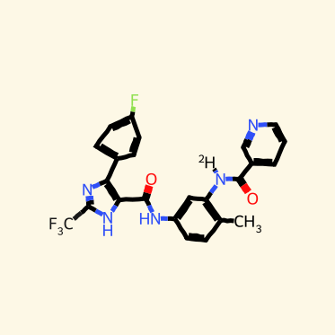 [2H]N(C(=O)c1cccnc1)c1cc(NC(=O)c2[nH]c(C(F)(F)F)nc2-c2ccc(F)cc2)ccc1C